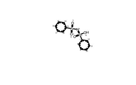 O=S(=O)(N=S(=O)(O)c1ccccc1)c1ccccc1